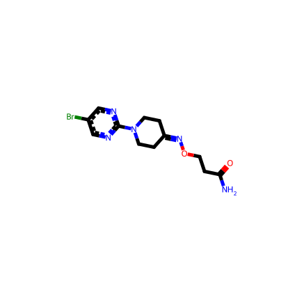 NC(=O)CCON=C1CCN(c2ncc(Br)cn2)CC1